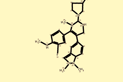 CNc1ccc(C2=C(C3=CC4=CN(C)N(C)C4C=C3)CNC(N3CCC(N)C3)N2C)cc1F